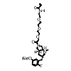 C=CC(=O)NCCOCCOCCOCC(=O)N1C[C@@H]2C[C@H](Cc3cc(OC)ccc3F)CN(C)[C@H]2C1